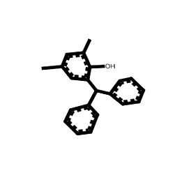 Cc1cc(C)c(O)c(C(c2ccccc2)c2ccccc2)c1